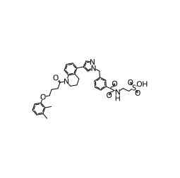 Cc1cccc(OCCCC(=O)N2CCCc3c(-c4cnn(Cc5cccc(S(=O)(=O)NCCS(=O)(=O)O)c5)c4)cccc32)c1C